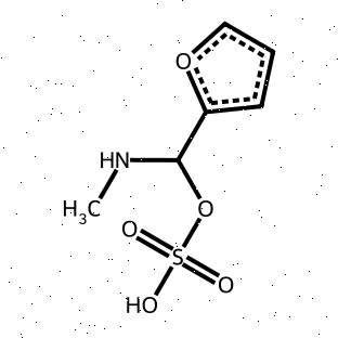 CNC(OS(=O)(=O)O)c1ccco1